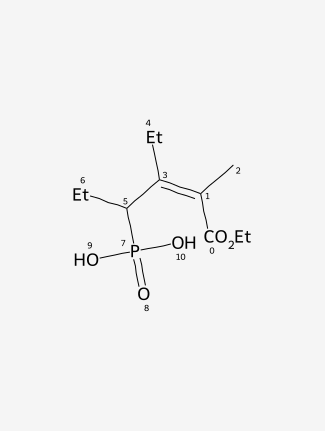 CCOC(=O)C(C)=C(CC)C(CC)P(=O)(O)O